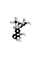 Cc1nccc2c1c(=O)n(C)c1cc(OCC(CC(C)C)NC(=O)OC(C)(C)C)c(Br)cc21